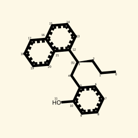 CCC[C@@H](Cc1ccccc1O)c1cccc2ccccc12